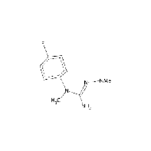 CNN=C(N)N(C)c1ccc(F)cc1